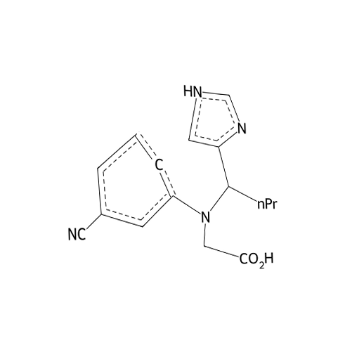 CCCC(c1c[nH]cn1)N(CC(=O)O)c1cccc(C#N)c1